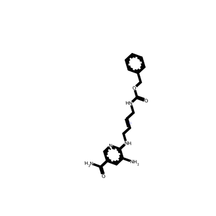 NC(=O)c1cnc(NC/C=C/CNC(=O)OCc2ccccc2)c(N)c1